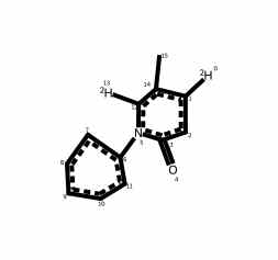 [2H]c1cc(=O)n(-c2ccccc2)c([2H])c1C